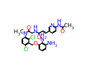 CC(=O)Nc1ccc(/C=C/C(=O)NCC(=O)N(C)c2ccc(Cl)c(COc3cccc(N)c3N)c2Cl)cn1